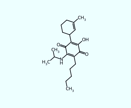 CCCCCC1=C(NC(C)C)C(=O)C(C2C=C(C)CCC2)=C(O)C1=O